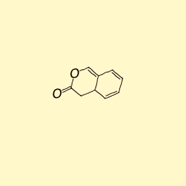 O=C1CC2C=CC=CC2=CO1